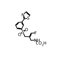 O=C(O)NCC(=CF)CS(=O)(=O)c1cccc(-c2nccs2)c1